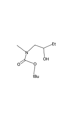 CCC(O)CN(C)C(=O)OC(C)(C)C